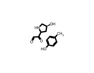 Cc1ccc(O)cc1.O=CC(=O)C1C[C@H](O)CN1